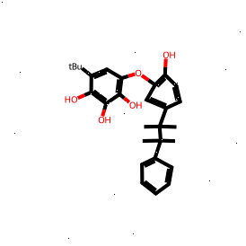 CC(C)(C)c1cc(Oc2cc(C(C)(C)C(C)(C)c3ccccc3)ccc2O)c(O)c(O)c1O